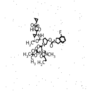 C=CC(=O)N(C)C[C@H](NC(=O)OC(C)(C)C)C(=O)N1CC(OC(=O)N2Cc3cccc(F)c3C2)C[C@H]1C(=O)N[C@]1(C(=O)NS(=O)(=O)C2CC2)C[C@H]1C=C